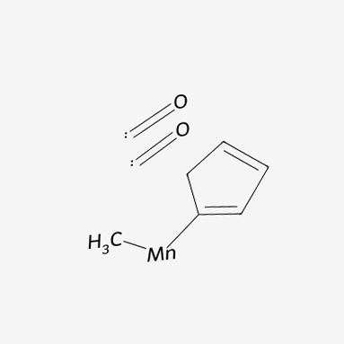 [CH3][Mn][C]1=CC=CC1.[C]=O.[C]=O